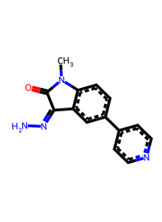 CN1C(=O)C(=NN)c2cc(-c3ccncc3)ccc21